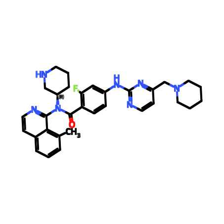 Cc1cccc2ccnc(N(C(=O)c3ccc(Nc4nccc(CN5CCCCC5)n4)cc3F)[C@@H]3CCCNC3)c12